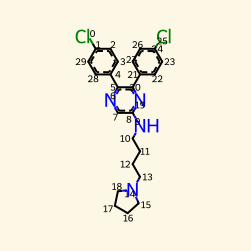 Clc1ccc(-c2ncc(NCCCCN3CCCC3)nc2-c2ccc(Cl)cc2)cc1